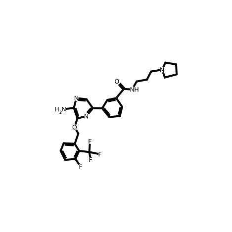 Nc1ncc(-c2cccc(C(=O)NCCCN3CCCC3)c2)nc1OCc1cccc(F)c1C(F)(F)F